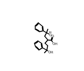 CC(O)(CCC(CC(C)(O)c1ccccc1)C(=O)O)c1ccccc1